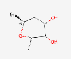 CC1O[C@@H](C(C)C)CC(O)C1O